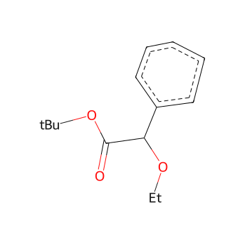 CCOC(C(=O)OC(C)(C)C)c1ccccc1